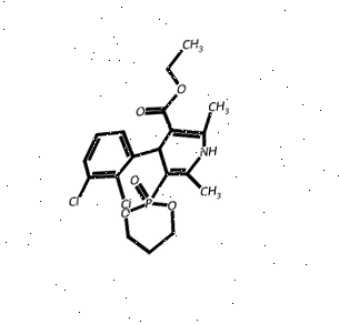 CCOC(=O)C1=C(C)NC(C)=C(P2(=O)OCCCO2)C1c1cccc(Cl)c1Cl